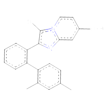 CCc1c(-c2ccccc2-c2ccc(C)cc2C)nc2cc(C(=O)O)ccn12